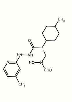 Cc1ccnc(NNC(=O)[C@@H](CN(O)C=O)C2CCC(C)CC2)c1